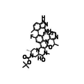 Cc1ccnc(C(C)C)c1-n1c(=O)c2c(c3cc(F)c(-c4c(C)ccc5[nH]nc(N)c45)c(F)c31)N1C[C@@H](C)N(C(=O)OC(C)(C)C)C[C@@H]1C(=O)N2C